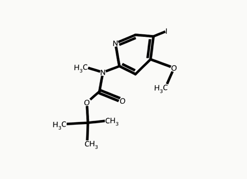 COc1cc(N(C)C(=O)OC(C)(C)C)ncc1I